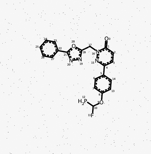 O=c1ccc(-c2ccc(OC(F)P)cc2)nn1Cc1nnc(-c2ccccc2)o1